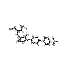 CS(=O)(=O)c1ccc(-c2ccc(-n3cnn(C/C(=C\F)CN)c3=O)nc2)cc1